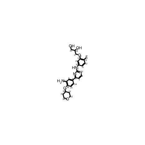 Nc1cc(-c2ccnc(Nc3ccc(F)c(OCC(O)CO)c3)n2)ccc1OC1CCOCC1